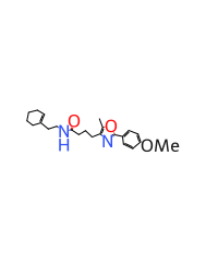 COc1ccc(-c2nc(CCCC(=O)NCCC3=CCCCC3)c(C)o2)cc1